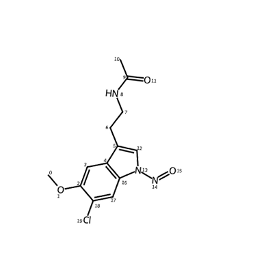 COc1cc2c(CCNC(C)=O)cn(N=O)c2cc1Cl